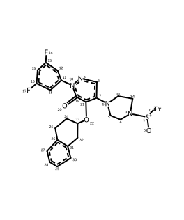 CC(C)[S+]([O-])N1CCN(c2cnn(-c3cc(F)cc(F)c3)c(=O)c2OC2CCc3ccccc3C2)CC1